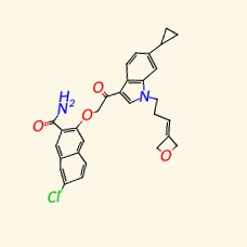 NC(=O)c1cc2cc(Cl)ccc2cc1OCC(=O)c1cn(CCC=C2COC2)c2cc(C3CC3)ccc12